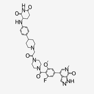 COc1cc(-c2cn(C)c(=O)c3[nH]ncc23)cc(F)c1C(=O)N1CCN(C(=O)CN2CCC(c3ccc(NC4CCC(=O)NC4=O)cc3)CC2)CC1